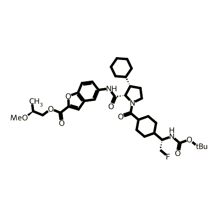 CO[C@@H](C)COC(=O)c1cc2cc(NC(=O)[C@@H]3[C@H](C4CCCCC4)CCN3C(=O)C3CCC([C@@H](CF)NC(=O)OC(C)(C)C)CC3)ccc2o1